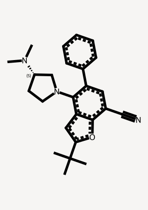 CN(C)[C@H]1CCN(c2c(-c3ccccc3)cc(C#N)c3oc(C(C)(C)C)cc23)C1